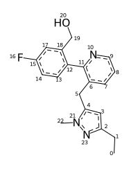 CCc1cc(Cc2cccnc2-c2ccc(F)cc2CO)n(C)n1